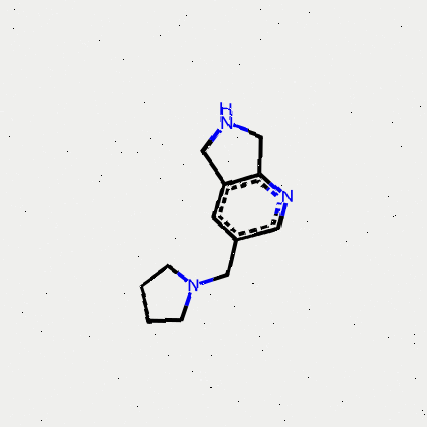 c1nc2c(cc1CN1CCCC1)CNC2